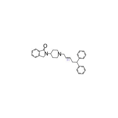 O=C1c2ccccc2CN1C1CCN(C/C=C/CC(c2ccccc2)c2ccccc2)CC1